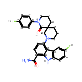 NC(=O)c1ccc(N2CCCC3(CCCN(c4ccc(F)cc4)C3=O)C2)c2c1[nH]c1ccc(F)cc12